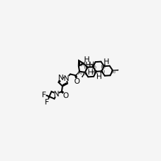 C[C@H]1CC[C@H]2[C@H](CC[C@@H]3[C@@H]2CC[C@]2(C)[C@@H](C(=O)Cn4cc(C(=O)N5CC(F)(F)C5)cn4)C4=C[C@H]4[C@@H]32)C1